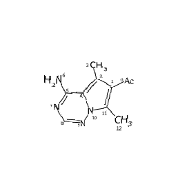 CC(=O)c1c(C)c2c(N)ncnn2c1C